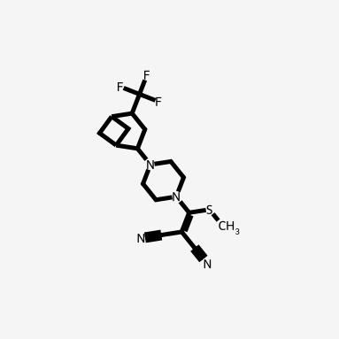 CSC(=C(C#N)C#N)N1CCN(C2CC(C(F)(F)F)C3CC2C3)CC1